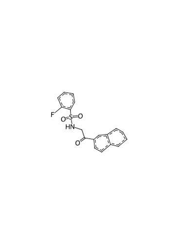 O=C(CNS(=O)(=O)c1ccccc1F)c1ccc2ccccc2c1